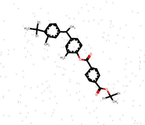 CCC(C)(CC)OC(=O)c1ccc(C(=O)Oc2ccc(C(C)c3ccc(C(C)(CC)CC)c(C)c3)cc2C)cc1